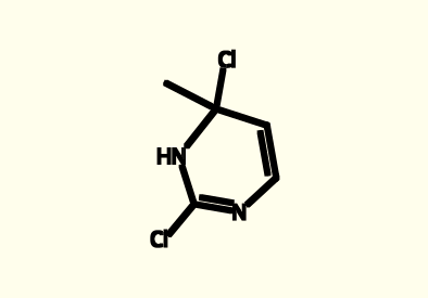 CC1(Cl)C=CN=C(Cl)N1